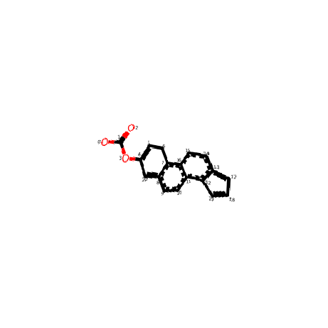 [O]C(=O)OC1=CCc2c(ccc3c4c(ccc23)=CC=C4)=C1